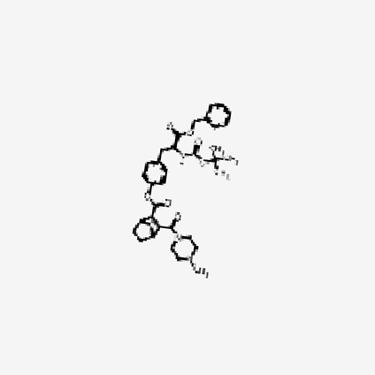 CN1CCN(C(=O)C2C3CCC(O3)C2C(=O)Oc2ccc(CC(NC(=O)OC(C)(C)C)C(=O)OCc3ccccc3)cc2)CC1